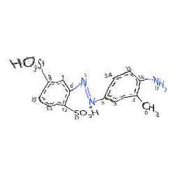 Cc1cc(N=Nc2cc(S(=O)(=O)O)ccc2S(=O)(=O)O)ccc1N